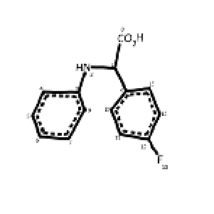 O=C(O)C(Nc1ccccc1)c1ccc(F)cc1